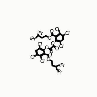 CC(C)C(CCOC(=O)c1c(Cl)c(Cl)cc(Cl)c1OC(=O)C(=O)Oc1c(Cl)cc(Cl)c(Cl)c1C(=O)OCCC(C(C)C)C(C)C)C(C)C